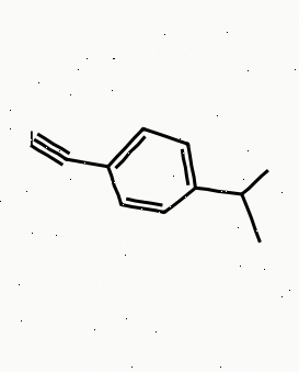 CC(C)c1ccc(C#I)cc1